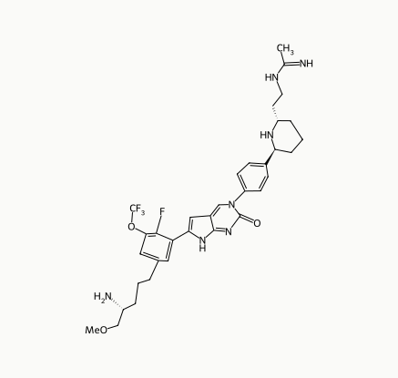 COC[C@H](N)CCCc1cc(OC(F)(F)F)c(F)c(-c2cc3cn(-c4ccc([C@@H]5CCC[C@@H](CCNC(C)=N)N5)cc4)c(=O)nc3[nH]2)c1